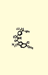 COc1ccc2c(cc(C(=O)NC3(c4ccc([C@@H](C(=O)O)C(C)C)cc4)COC3)n2C)c1Cl